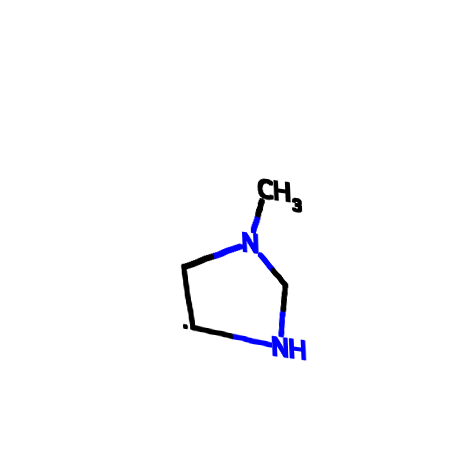 CN1C[CH]NC1